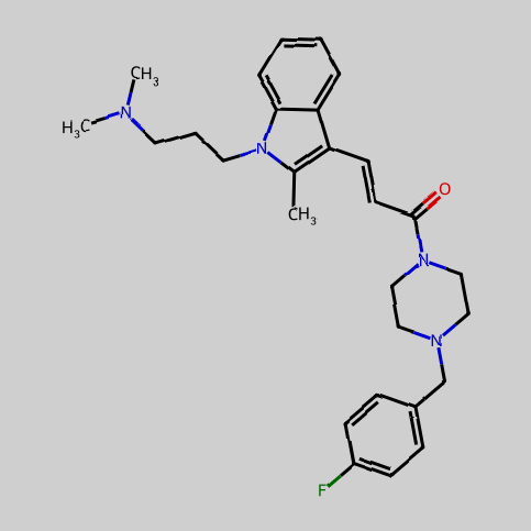 Cc1c(/C=C/C(=O)N2CCN(Cc3ccc(F)cc3)CC2)c2ccccc2n1CCCN(C)C